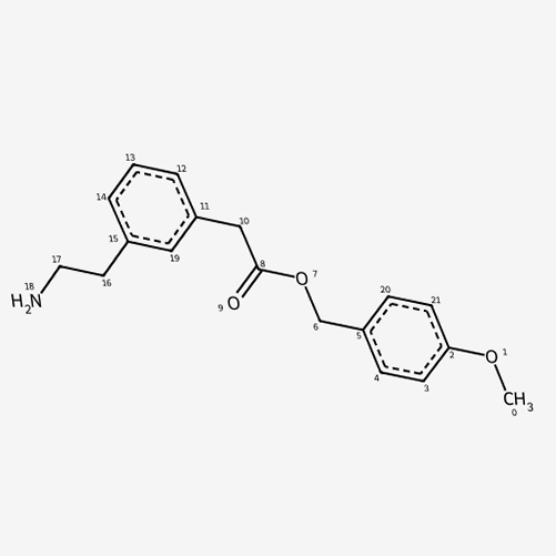 COc1ccc(COC(=O)Cc2cccc(CCN)c2)cc1